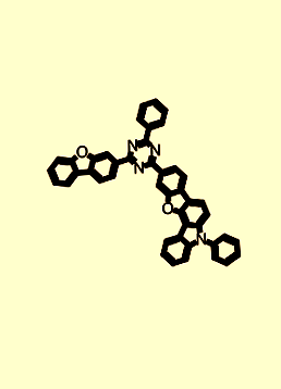 c1ccc(-c2nc(-c3ccc4c(c3)oc3ccccc34)nc(-c3ccc4c(c3)oc3c4ccc4c3c3ccccc3n4-c3ccccc3)n2)cc1